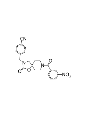 N#Cc1ccc(CN2CC3(CCN(C(=O)c4cccc([N+](=O)[O-])c4)CC3)OC2=O)cc1